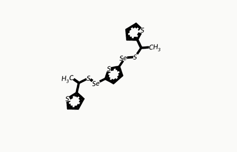 CC(S[Se]c1ccc([Se]SC(C)c2cccs2)s1)c1cccs1